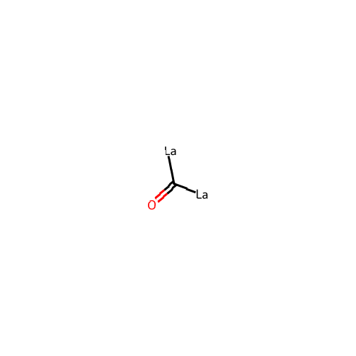 O=[C]([La])[La]